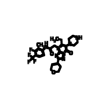 CCc1c(N2CCNCC2)c(=O)n2nc(C3=CCOCC3)nc2n1CC(=O)Nc1ccc(C(F)(F)F)c(F)c1C